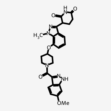 COc1ccc2c(C(=O)N3CCC(Oc4cccc5c(C6CCC(=O)NC6=O)nn(C)c45)CC3)n[nH]c2c1